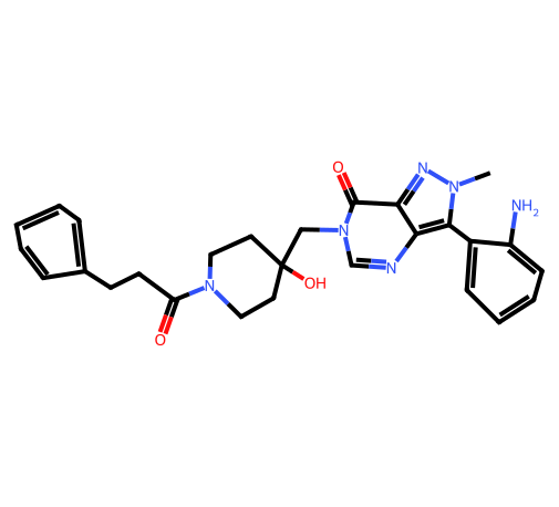 Cn1nc2c(=O)n(CC3(O)CCN(C(=O)CCc4ccccc4)CC3)cnc2c1-c1ccccc1N